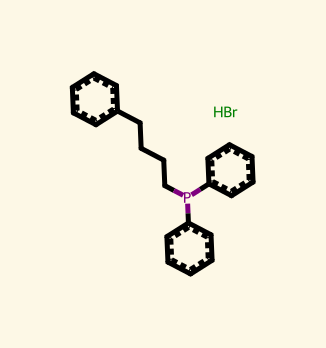 Br.c1ccc(CCCCP(c2ccccc2)c2ccccc2)cc1